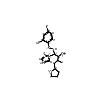 CC(CC1CCCO1)C(O)C(SSc1ccc(F)cc1F)n1cncn1